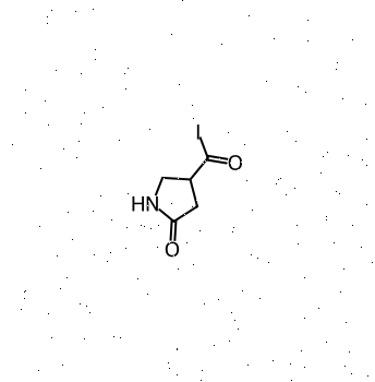 O=C1CC(C(=O)I)CN1